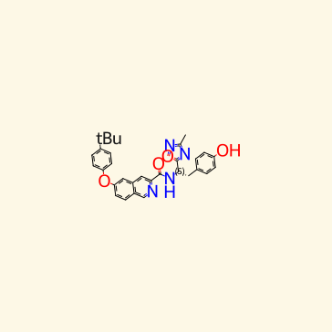 Cc1noc([C@H](Cc2ccc(O)cc2)NC(=O)c2cc3cc(Oc4ccc(C(C)(C)C)cc4)ccc3cn2)n1